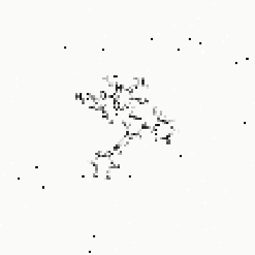 CC(C(=O)Nc1cc(-c2ccccc2F)cc(C#Cc2ccccc2)n1)N(C)C(=O)OC(C)(C)C